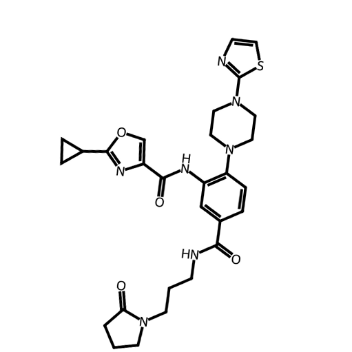 O=C(NCCCN1CCCC1=O)c1ccc(N2CCN(c3nccs3)CC2)c(NC(=O)c2coc(C3CC3)n2)c1